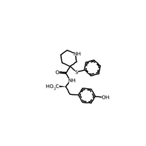 O=C(O)[C@H](Cc1ccc(O)cc1)NC(=O)C1(Sc2ccccc2)CCCNC1